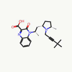 C[C@H]1CC[C@@H](C[C@H](C)n2c(=O)c(C(=O)O)nc3ccccc32)N1CC#CC(C)(C)C